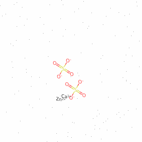 O=S(=O)([O-])[O-].O=S(=O)([O-])[O-].[Ca+2].[Zn+2]